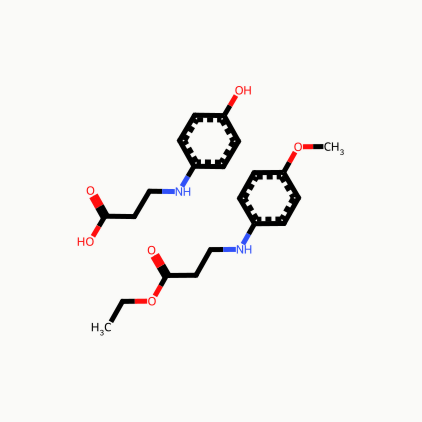 CCOC(=O)CCNc1ccc(OC)cc1.O=C(O)CCNc1ccc(O)cc1